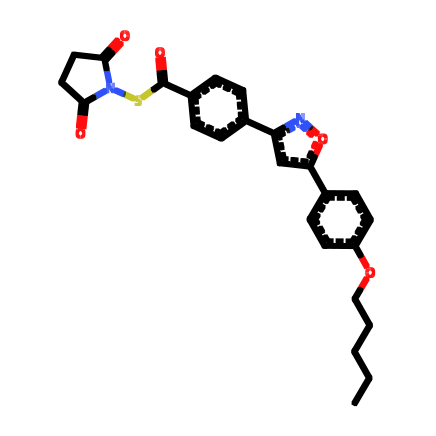 CCCCCOc1ccc(-c2cc(-c3ccc(C(=O)SN4C(=O)CCC4=O)cc3)no2)cc1